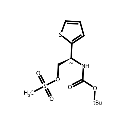 CC(C)(C)OC(=O)N[C@@H](COS(C)(=O)=O)c1cccs1